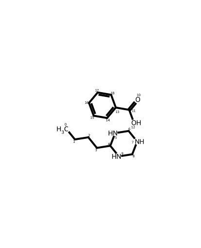 CCCCC1NCNCN1.O=C(O)c1ccccc1